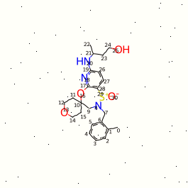 Cc1ccccc1CN1CC2(CCOCC2)Oc2nc(NC(C)CCO)ccc2[S+]1[O-]